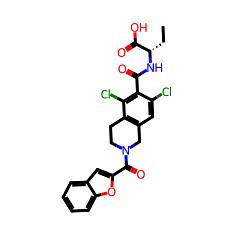 CC[C@H](NC(=O)c1c(Cl)cc2c(c1Cl)CCN(C(=O)c1cc3ccccc3o1)C2)C(=O)O